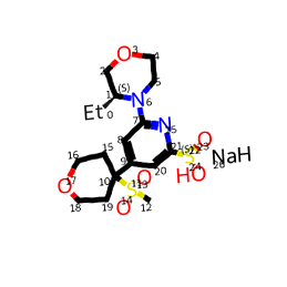 CC[C@H]1COCCN1c1cc(C2(S(C)(=O)=O)CCOCC2)cc([S@@](=O)O)n1.[NaH]